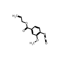 C=CCOC(=O)c1ccc(N=C=O)c(OC)c1